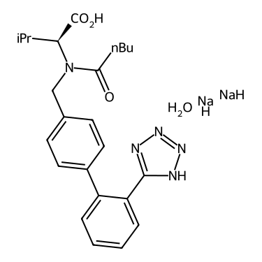 CCCCC(=O)N(Cc1ccc(-c2ccccc2-c2nnn[nH]2)cc1)[C@H](C(=O)O)C(C)C.O.[NaH].[NaH]